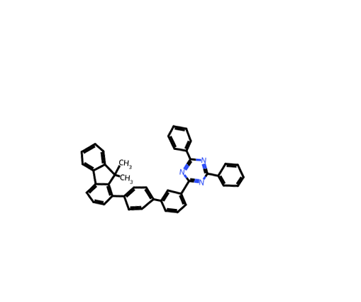 CC1(C)c2ccccc2-c2cccc(-c3ccc(-c4cccc(-c5nc(-c6ccccc6)nc(-c6ccccc6)n5)c4)cc3)c21